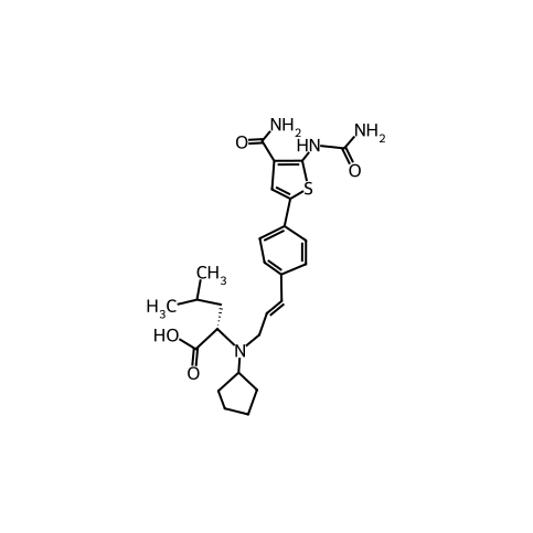 CC(C)C[C@@H](C(=O)O)N(CC=Cc1ccc(-c2cc(C(N)=O)c(NC(N)=O)s2)cc1)C1CCCC1